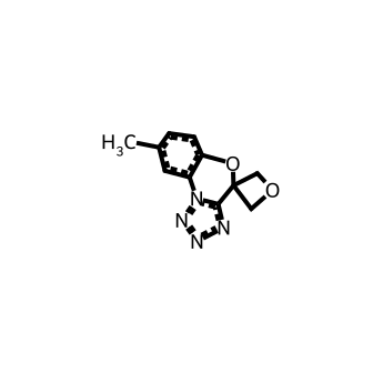 Cc1ccc2c(c1)-n1nnnc1C1(COC1)O2